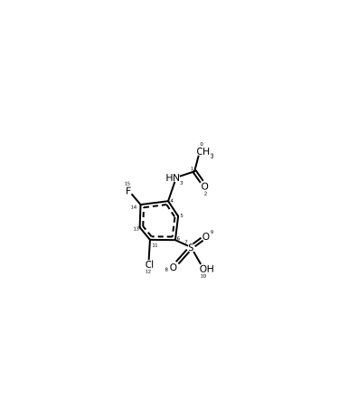 CC(=O)Nc1cc(S(=O)(=O)O)c(Cl)cc1F